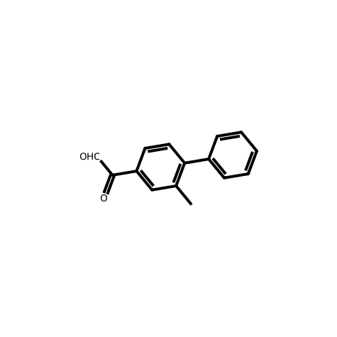 Cc1cc(C(=O)C=O)ccc1-c1ccccc1